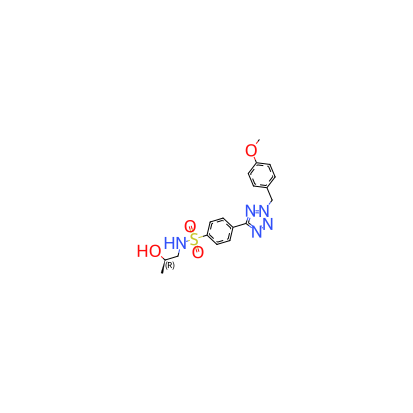 COc1ccc(Cn2nnc(-c3ccc(S(=O)(=O)NC[C@@H](C)O)cc3)n2)cc1